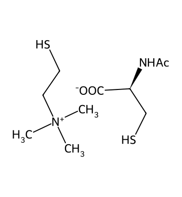 CC(=O)N[C@@H](CS)C(=O)[O-].C[N+](C)(C)CCS